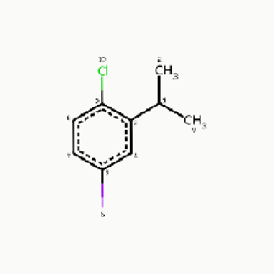 CC(C)c1cc(I)ccc1Cl